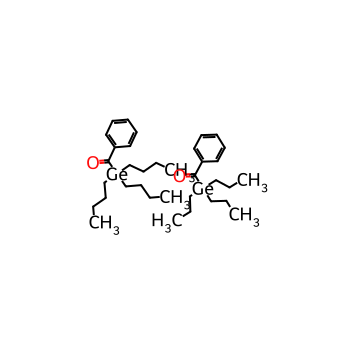 CCC[CH2][Ge]([CH2]CCC)([CH2]CCC)[C](=O)c1ccccc1.CC[CH2][Ge]([CH2]CC)([CH2]CC)[C](=O)c1ccccc1